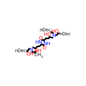 CCCCCCCCCC[C@H](O)CN(CCCCC1NC(=O)C(CCCCN(C[C@@H](O)CCCCCCCCCC)C[C@H](C)O)NC1=O)C[C@@H](O)CCCCCCCCCC